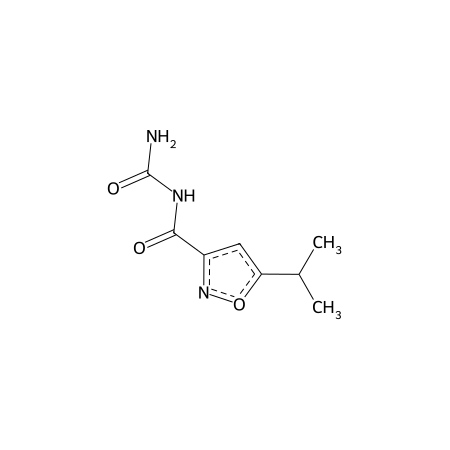 CC(C)c1cc(C(=O)NC(N)=O)no1